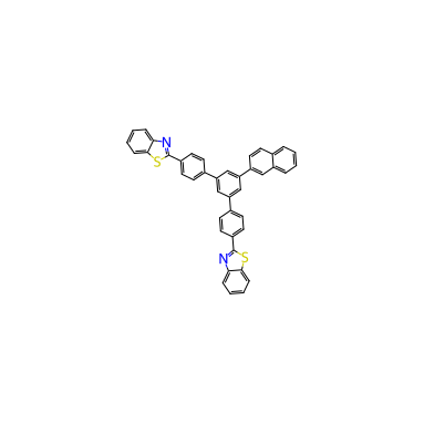 c1ccc2cc(-c3cc(-c4ccc(-c5nc6ccccc6s5)cc4)cc(-c4ccc(-c5nc6ccccc6s5)cc4)c3)ccc2c1